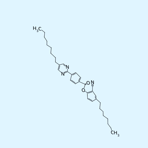 CCCCCCCCCc1cnc(-c2ccc(C(=O)Oc3ccc(CCCCCCCC)cc3C#N)cc2)nc1